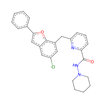 O=C(NN1CCCCC1)c1cccc(Cc2cc(Cl)cc3cc(-c4ccccc4)oc23)n1